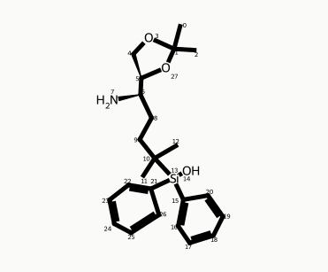 CC1(C)OC[C@H]([C@H](N)CCC(C)(C)[Si](O)(c2ccccc2)c2ccccc2)O1